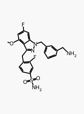 COc1cc(F)cc2c1c(Cc1ccc(S(N)(=O)=O)cc1F)nn2Cc1cccc(CN)c1